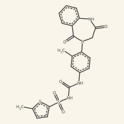 Cc1ccc(S(=O)(=O)NC(=O)Nc2ccc(N3CC(=O)Nc4ccccc4C3=O)c(C)c2)s1